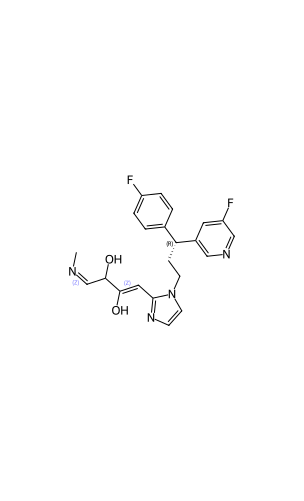 C/N=C\C(O)/C(O)=C/c1nccn1CC[C@H](c1ccc(F)cc1)c1cncc(F)c1